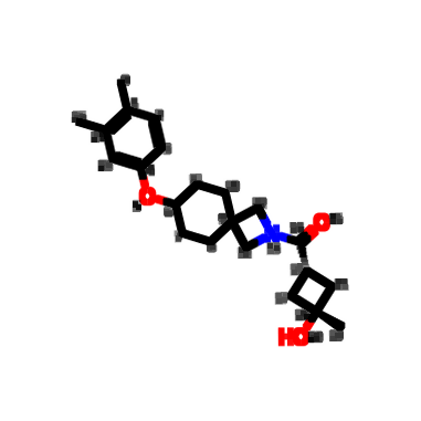 Cc1ccc(OC2CCC3(CC2)CN(C(=O)[C@H]2C[C@@](C)(O)C2)C3)cc1C